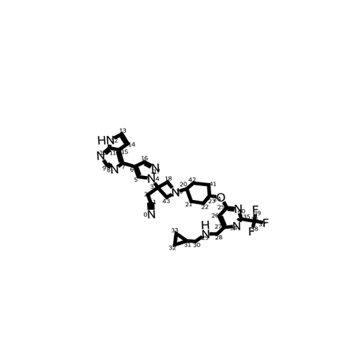 N#CCC1(n2cc(-c3ncnc4[nH]ccc34)cn2)CN(C2CCC(Oc3cc(CNCC4CC4)nc(C(F)(F)F)n3)CC2)C1